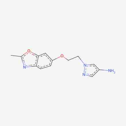 Cc1nc2ccc(OCCn3cc(N)cn3)cc2o1